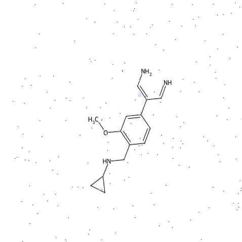 COc1cc(/C(C=N)=C/N)ccc1CNC1CC1